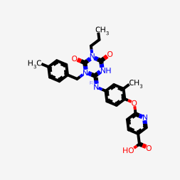 CCCn1c(=O)[nH]/c(=N\c2ccc(Oc3ccc(C(=O)O)cn3)c(C)c2)n(Cc2ccc(C)cc2)c1=O